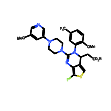 COc1cncc(N2CCN(C3=Nc4c(csc4F)C(CC(=O)O)N3c3cc(C(F)(F)F)ccc3OC)CC2)c1